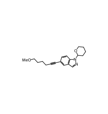 COCCCCC#Cc1ccc2c(cnn2C2CCCCO2)c1